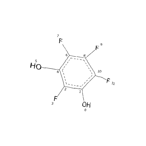 Oc1c(F)c(O)c(F)c(F)c1F